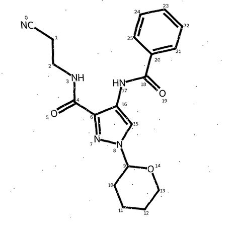 N#CCCNC(=O)c1nn(C2CCCCO2)cc1NC(=O)c1ccccc1